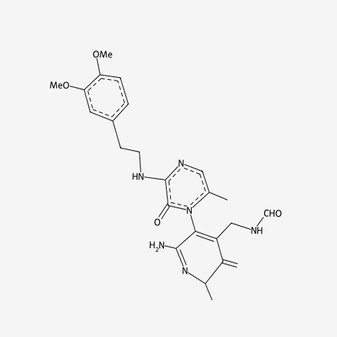 C=C1C(CNC=O)=C(n2c(C)cnc(NCCc3ccc(OC)c(OC)c3)c2=O)C(N)=NC1C